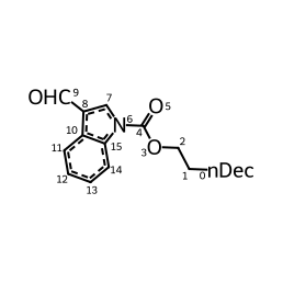 CCCCCCCCCCCCOC(=O)n1cc(C=O)c2ccccc21